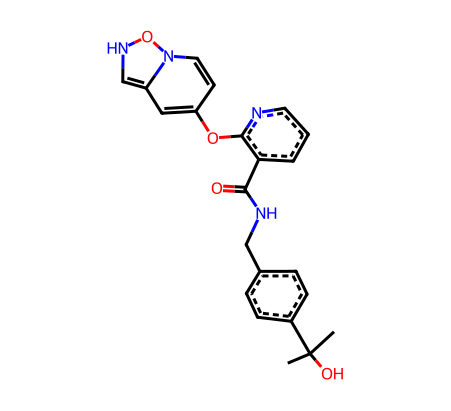 CC(C)(O)c1ccc(CNC(=O)c2cccnc2OC2=CC3=CNON3C=C2)cc1